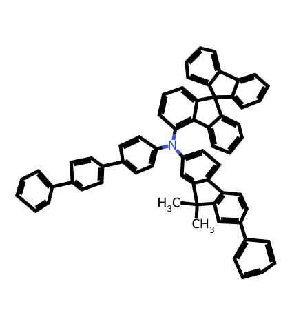 CC1(C)c2cc(-c3ccccc3)ccc2-c2ccc(N(c3ccc(-c4ccc(-c5ccccc5)cc4)cc3)c3cccc4c3-c3ccccc3C43c4ccccc4-c4ccccc43)cc21